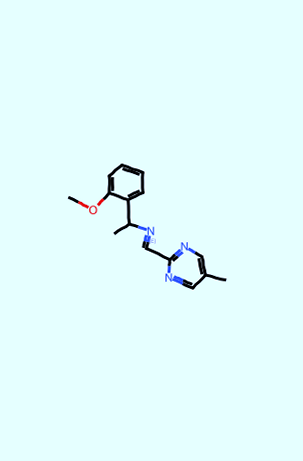 COc1ccccc1C(C)/N=C/c1ncc(C)cn1